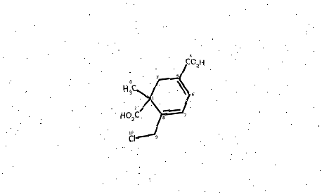 CC1(C(=O)O)CC(C(=O)O)=CC=C1CCl